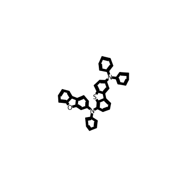 c1ccc(N(c2ccccc2)c2ccc3sc4c(N(c5ccccc5)c5ccc6c(c5)oc5ccccc56)cccc4c3c2)cc1